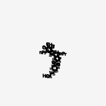 CCCOc1ccc(S(=O)(=O)N2CCN(CCCO)CC2)cc1-c1cc2c([nH]1)c(=O)n(C)c(=O)n2CCC